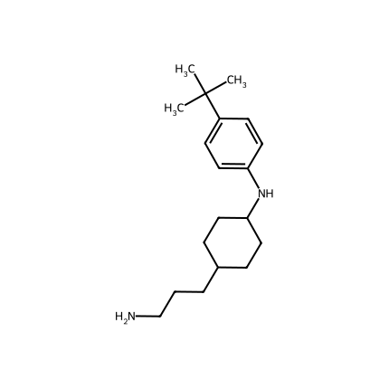 CC(C)(C)c1ccc(NC2CCC(CCCN)CC2)cc1